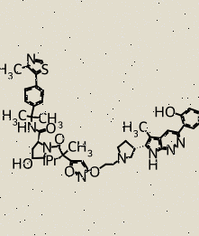 Cc1ncsc1-c1ccc(C(C)(C)NC(=O)[C@@H]2C[C@@H](O)CN2C(=O)[C@](C)(c2cc(OCCN3CC[C@H](c4[nH]c5nnc(-c6ccccc6O)cc5c4C)C3)no2)C(C)C)cc1